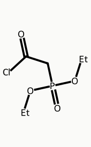 CCOP(=O)(CC(=O)Cl)OCC